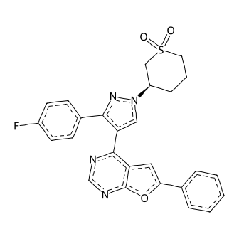 O=S1(=O)CCC[C@@H](n2cc(-c3ncnc4oc(-c5ccccc5)cc34)c(-c3ccc(F)cc3)n2)C1